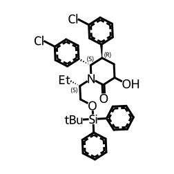 CC[C@@H](CO[Si](c1ccccc1)(c1ccccc1)C(C)(C)C)N1C(=O)C(O)C[C@H](c2cccc(Cl)c2)[C@H]1c1ccc(Cl)cc1